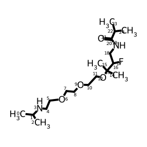 CC(C)NCCOCCOCCOC(C)(C)C(F)CNC(=O)C(C)C